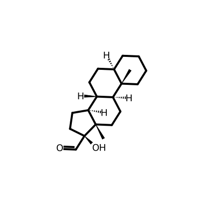 C[C@]12CCCC[C@@H]1CC[C@@H]1[C@@H]2CC[C@@]2(C)[C@H]1CC[C@@]2(O)C=O